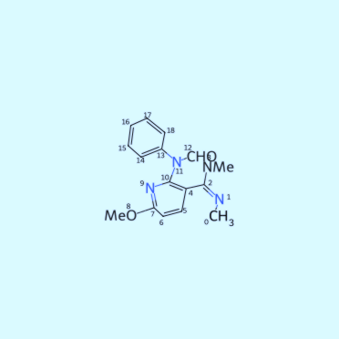 C/N=C(/NC)c1ccc(OC)nc1N(C=O)c1ccccc1